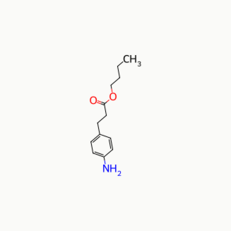 CCCCOC(=O)CCc1ccc(N)cc1